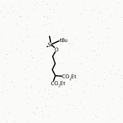 CCOC(=O)C(CCCO[Si](C)(C)C(C)(C)C)C(=O)OCC